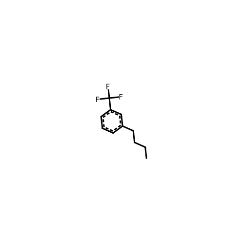 CCCCc1cccc(C(F)(F)F)c1